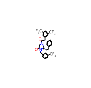 O=C(Cc1cc(C(F)(F)F)cc(C(F)(F)F)c1)N1CC(=O)N(Cc2cccc(C(F)(F)F)c2)[C@@H](CCc2ccccc2)C1